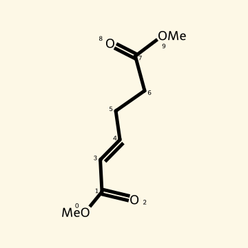 COC(=O)/C=C/CCC(=O)OC